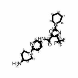 NC1CCN(c2ccc(NC(=O)c3oc(N4CCCCC4)nc3C(F)(F)F)cn2)CC1